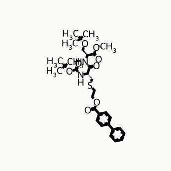 COC(=O)[C@H](COC(C)(C)C)NC(=O)[C@H](CSCCOC(=O)c1ccc(-c2ccccc2)cc1)NC(=O)OC(C)(C)C